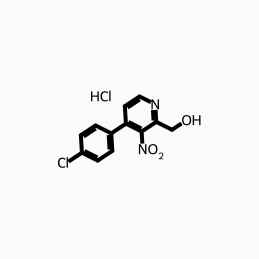 Cl.O=[N+]([O-])c1c(-c2ccc(Cl)cc2)ccnc1CO